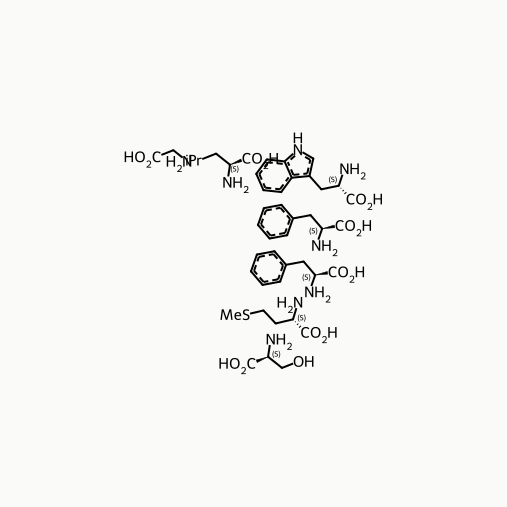 CC(C)C[C@H](N)C(=O)O.CSCC[C@H](N)C(=O)O.NCC(=O)O.N[C@@H](CO)C(=O)O.N[C@@H](Cc1c[nH]c2ccccc12)C(=O)O.N[C@@H](Cc1ccccc1)C(=O)O.N[C@@H](Cc1ccccc1)C(=O)O